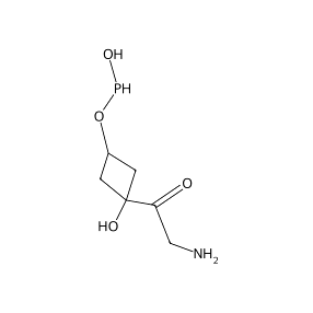 NCC(=O)C1(O)CC(OPO)C1